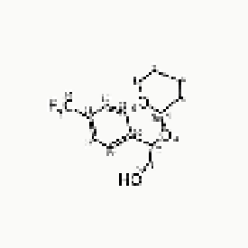 OCC(O[C@@H]1CCCCO1)c1ccc(C(F)(F)F)cc1